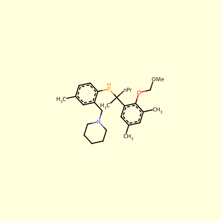 CCCC(C)(Pc1ccc(C)cc1CN1CCCCC1)c1cc(C)cc(C)c1OCOC